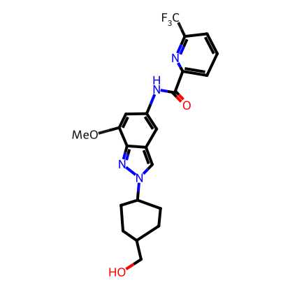 COc1cc(NC(=O)c2cccc(C(F)(F)F)n2)cc2cn(C3CCC(CO)CC3)nc12